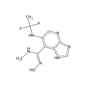 CNC(=NO)c1c(NC(C)(F)F)cnc2nc[nH]c12